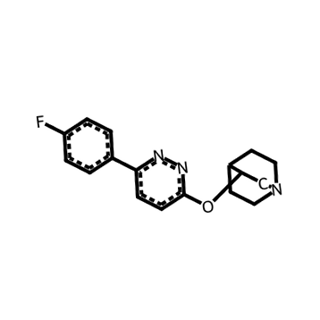 Fc1ccc(-c2ccc(OC3CN4CCC3CC4)nn2)cc1